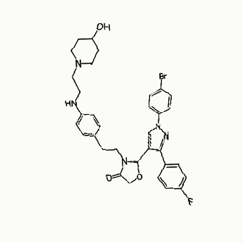 O=C1COC(c2cn(-c3ccc(Br)cc3)nc2-c2ccc(F)cc2)N1CCc1ccc(NCCN2CCC(O)CC2)cc1